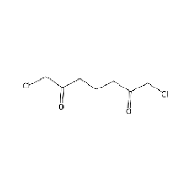 O=C(CCl)CCCC(=O)CCl